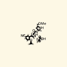 COC[C@@H]1C[C@@H](NC(=O)c2ncc(-c3cc(C#N)ccc3OC3CC3)o2)CN1.O=C(O)C(F)(F)F